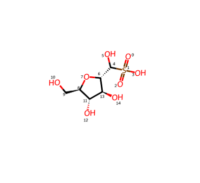 O=S(=O)(O)C(O)[C@H]1O[C@H](CO)[C@@H](O)[C@@H]1O